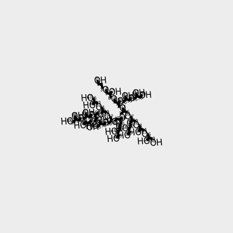 OCCCOCC(O)COCC(COC(COCC(COCC(O)COCC(O)CO)OCC(O)CO)COC(COCC(O)CO)COC(COCC(O)CO)COCC(COCC(O)CO)OCC(COCC(O)CO)OCC(O)COCC(O)CO)OCC(O)COCC(O)CO